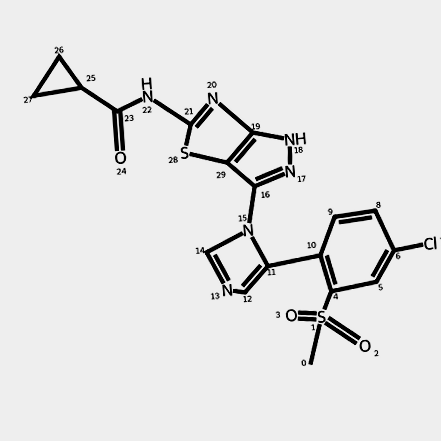 CS(=O)(=O)c1cc(Cl)ccc1-c1cncn1-c1n[nH]c2nc(NC(=O)C3CC3)sc12